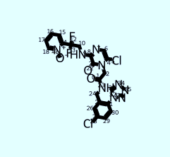 O=C(Cn1c(Cl)cnc(NCC(F)(F)c2cccc[n+]2[O-])c1=O)NCc1cc(Cl)ccc1-n1cnnn1